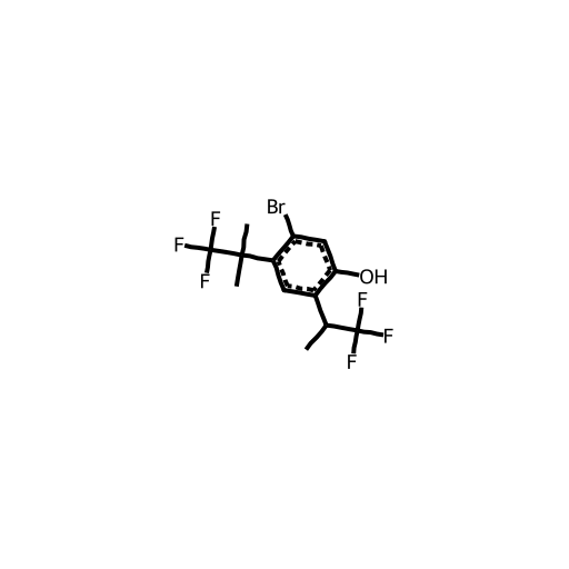 CC(c1cc(C(C)(C)C(F)(F)F)c(Br)cc1O)C(F)(F)F